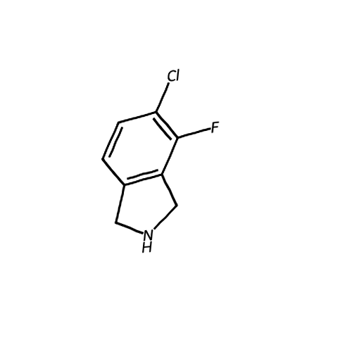 Fc1c(Cl)ccc2c1CNC2